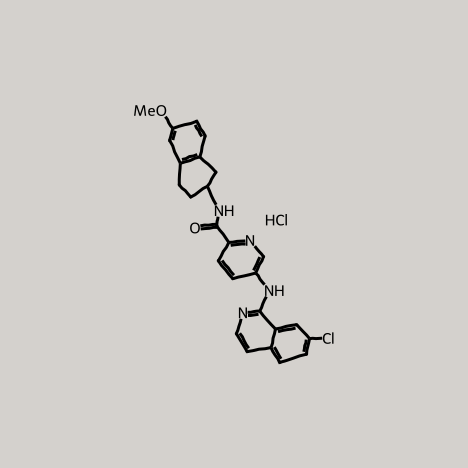 COc1ccc2c(c1)CCC(NC(=O)c1ccc(Nc3nccc4ccc(Cl)cc34)cn1)C2.Cl